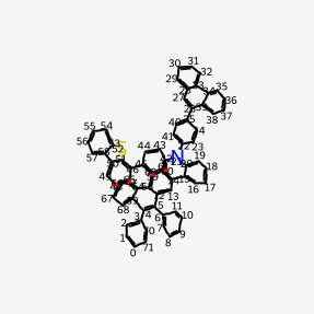 c1ccc(-c2c(-c3ccccc3)c3cc(-c4ccccc4N(c4ccc(-c5cc6ccccc6c6ccccc56)cc4)c4ccc(-c5cccc6c5sc5ccccc56)cc4)ccc3c3ccccc23)cc1